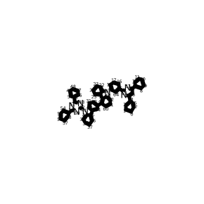 c1ccc(-c2cc(-c3ccccc3)nc(-c3cccc(-n4c5ccccc5c5c(-c6ccc7c(c6)c6ccccc6n7-c6nc(-c7ccccc7)nc(-c7ccccc7)n6)cccc54)c3)n2)cc1